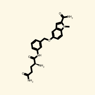 Cn1c(C(N)=O)cc2cc(OCc3cccc(NC(=O)[C@@H](N)CCC(N)=O)c3)ccc21